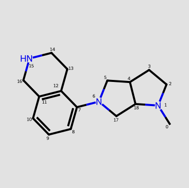 CN1CCC2CN(c3cccc4c3CCNC4)CC21